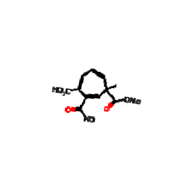 COC(=O)C1(C)C=CC=C(C(=O)O)C(C(=O)N=O)=C1